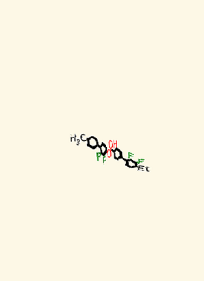 CCC1CC=C(C2C=CC(C(O)Oc3ccc(C4CCC(C)CC4)c(F)c3F)CC2)C(F)=C1F